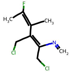 C=N/C(CCl)=C(CCl)\C(C)=C(/C)F